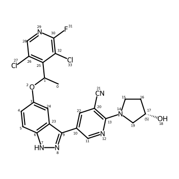 CC(Oc1ccc2[nH]nc(-c3cnc(N4CC[C@H](O)C4)c(C#N)c3)c2c1)c1c(Cl)cnc(F)c1Cl